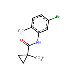 O=C(O)C1(C(=O)Nc2cc(Br)ccc2C(F)(F)F)CC1